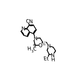 CCC1CN(C[C@H]2CN(c3ccc(C#N)c4ncccc34)C[C@@H](C)O2)CCN1